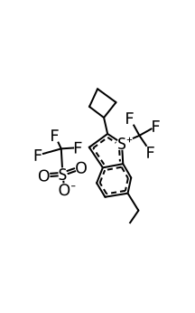 CCc1ccc2cc(C3CCC3)[s+](C(F)(F)F)c2c1.O=S(=O)([O-])C(F)(F)F